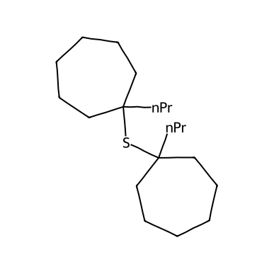 CCCC1(SC2(CCC)CCCCCC2)CCCCCC1